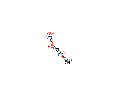 CC(C)COCCOC(=O)/C(C#N)=C/c1ccc(OCC(O)COc2ccc(/C=C(\C#N)C(=O)O)cc2)cc1